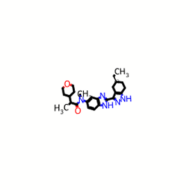 CC[C@H]1CCc2[nH]nc(-c3nc4cc(N(C)C(=O)C(C)C5CCOCC5)ccc4[nH]3)c2C1